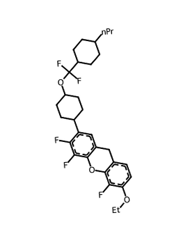 CCCC1CCC(C(F)(F)OC2CCC(c3cc4c(c(F)c3F)Oc3c(ccc(OCC)c3F)C4)CC2)CC1